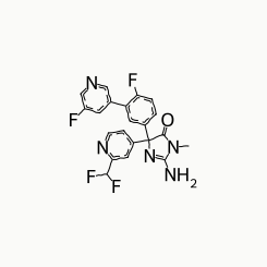 CN1C(=O)C(c2ccnc(C(F)F)c2)(c2ccc(F)c(-c3cncc(F)c3)c2)N=C1N